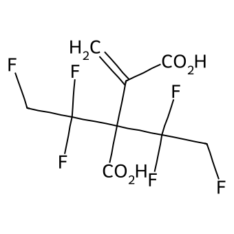 C=C(C(=O)O)C(C(=O)O)(C(F)(F)CF)C(F)(F)CF